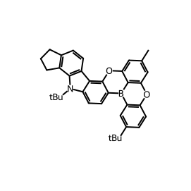 Cc1cc2c3c(c1)Oc1c(ccc4c1c1ccc5c(c1n4C(C)(C)C)CCC5)B3c1cc(C(C)(C)C)ccc1O2